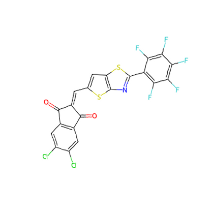 O=C1C(=Cc2cc3sc(-c4c(F)c(F)c(F)c(F)c4F)nc3s2)C(=O)c2cc(Cl)c(Cl)cc21